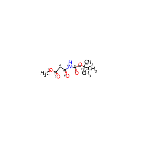 COC(=O)CC(=O)NC(=O)OC(C)(C)C